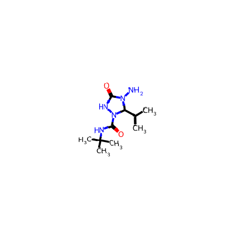 CC(C)C1N(N)C(=O)NN1C(=O)NC(C)(C)C